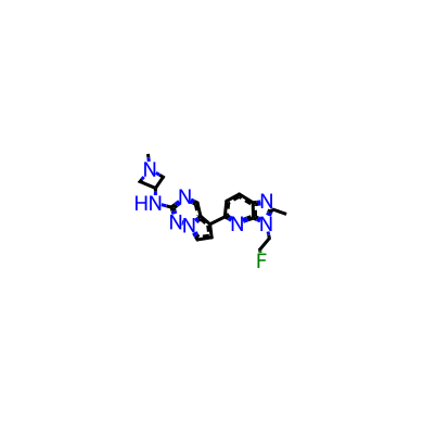 Cc1nc2ccc(-c3ccn4nc(NC5CN(C)C5)ncc34)nc2n1CCF